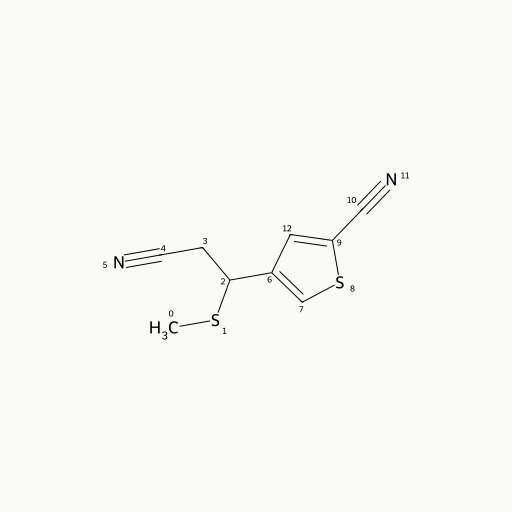 CSC(CC#N)c1csc(C#N)c1